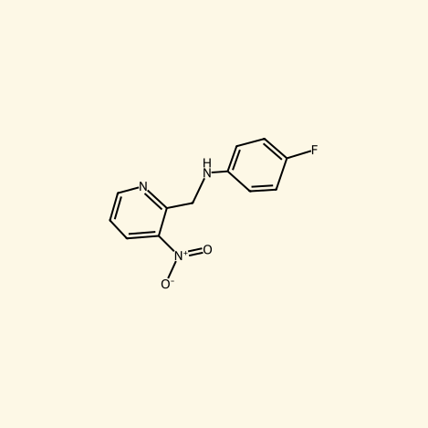 O=[N+]([O-])c1cccnc1CNc1ccc(F)cc1